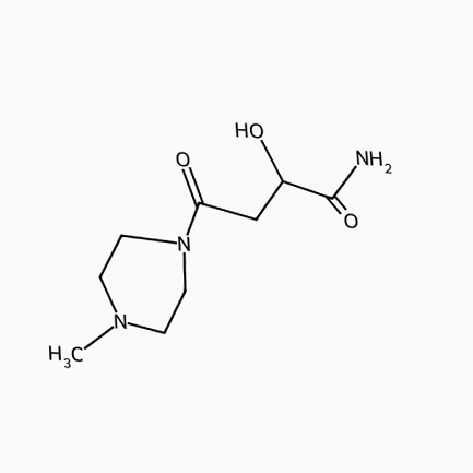 CN1CCN(C(=O)CC(O)C(N)=O)CC1